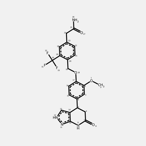 COc1cc(C2CC(=O)Nc3n[nH]cc32)ccc1OCc1ccc(CC(N)=O)cc1C(F)(F)F